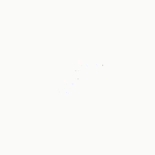 CC/C=C/C(=N)C(=O)Nc1ccc(C(=O)N2CCN(C(C)C)CC2)cc1